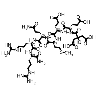 CSCC[C@H](NC(=O)[C@H](CCC(=O)O)NC(=O)[C@H](CCC(=O)O)NC(=O)C(O)(CC(=O)O)CC(=O)O)C(=O)N[C@@H](CCC(N)=O)C(=O)N[C@@H](CCCNC(=N)N)C(=O)N[C@@H](CCCNC(=N)N)C(N)=O